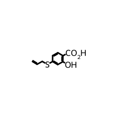 C=CCSc1ccc(C(=O)O)c(O)c1